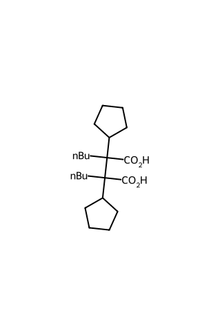 CCCCC(C(=O)O)(C1CCCC1)C(CCCC)(C(=O)O)C1CCCC1